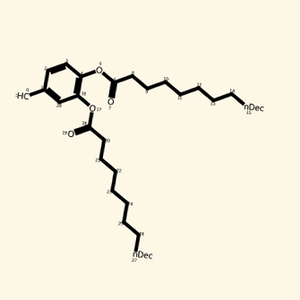 [CH]c1ccc(OC(=O)CCCCCCCCCCCCCCCCC)c(OC(=O)CCCCCCCCCCCCCCCCC)c1